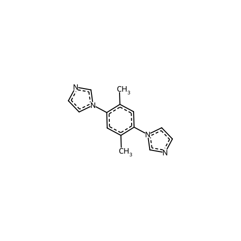 Cc1cc(-n2ccnc2)c(C)cc1-n1ccnc1